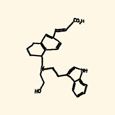 O=C(O)C=Cc1ccc2c(c1)CCCC2N(CCO)CCc1c[nH]c2ccccc12